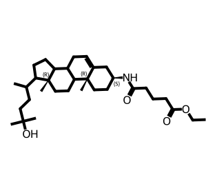 CCOC(=O)CCCC(=O)N[C@H]1CC[C@@]2(C)C(=CCC3C4CCC(C(C)CCC(C)(C)O)[C@@]4(C)CCC32)C1